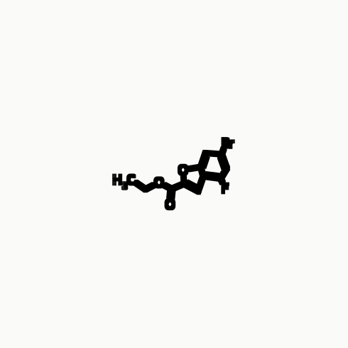 CCOC(=O)c1cc2c(F)cc(Br)cc2o1